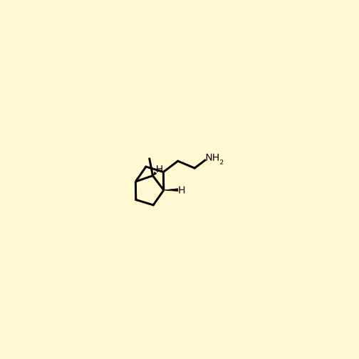 C[C@H]1C2CC[C@H]1C(CCN)C2